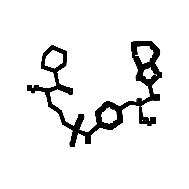 CN(CCCS(=O)(=O)Nc1ccc(C[C@H](Nc2nc3ccccc3o2)C(=O)O)cc1)C(=O)C1CCCCC1